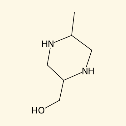 CC1CNC(CO)CN1